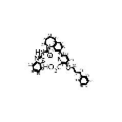 O=C(O)c1nc(-c2ccc3c(c2)N(C(=O)Nc2nc4ccccc4s2)CCCC3)ccc1OCCCc1ccccc1